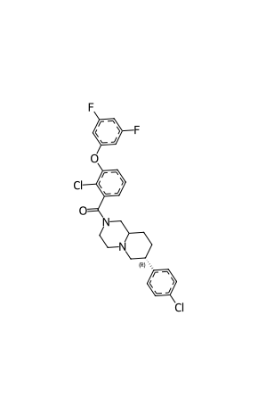 O=C(c1cccc(Oc2cc(F)cc(F)c2)c1Cl)N1CCN2C[C@@H](c3ccc(Cl)cc3)CCC2C1